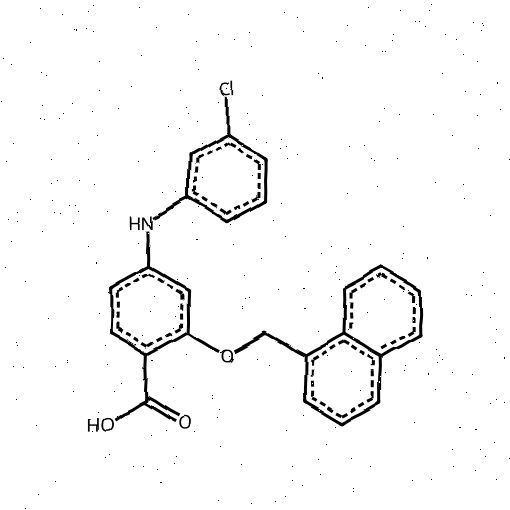 O=C(O)c1ccc(Nc2cccc(Cl)c2)cc1OCc1cccc2ccccc12